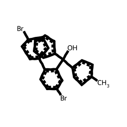 Cc1ccc(C(O)(c2ccccc2)c2cc(Br)ccc2-c2ccc(Br)cc2)cc1